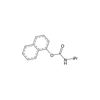 CC(C)NC(=O)Oc1cccc2ccccc12